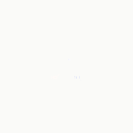 C/C=C/CC(N)(CC)CO